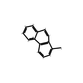 Cc1cc[c]c2c1ccc1ccccc12